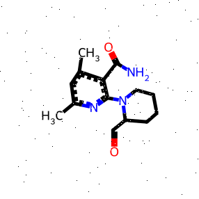 Cc1cc(C)c(C(N)=O)c(N2CCCCC2C=O)n1